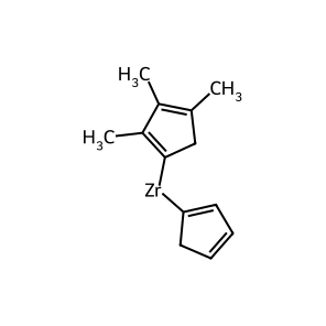 CC1=C(C)C(C)=[C]([Zr][C]2=CC=CC2)C1